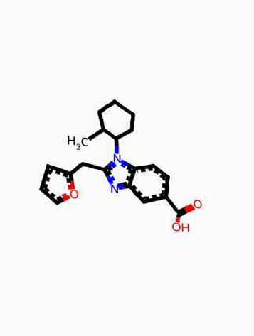 CC1CCCCC1n1c(Cc2ccco2)nc2cc(C(=O)O)ccc21